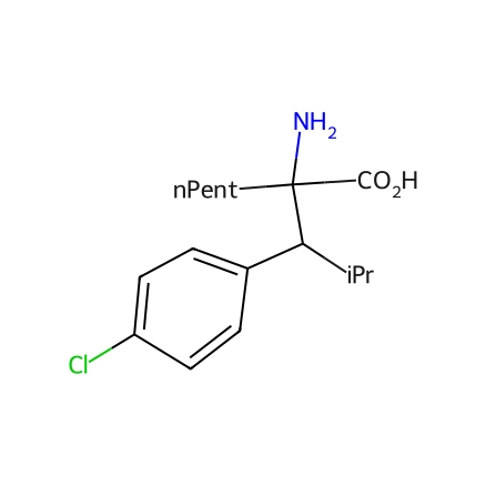 CCCCCC(N)(C(=O)O)C(c1ccc(Cl)cc1)C(C)C